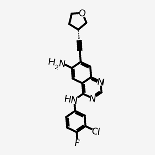 Nc1cc2c(Nc3ccc(F)c(Cl)c3)ncnc2cc1C#C[C@@H]1CCOC1